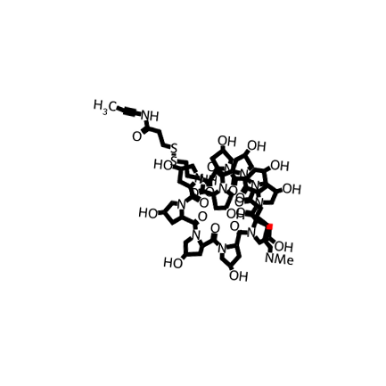 CC#CNC(=O)CCSSCCNC(=O)C1CC(O)CN1C(=O)C1CC(O)CN1C(=O)C1CC(O)CN1C(=O)C1CC(O)CN1C(=O)C1CC(O)CN1C(=O)C1CC(O)CN1C(=O)C1CC(O)CN1C(=O)C1CC(O)CN1C(=O)C1CC(O)CN1C(=O)C1CC(O)CN1C(=O)CCCCCNC